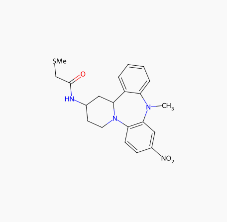 CSCC(=O)NC1CCN2c3ccc([N+](=O)[O-])cc3N(C)c3ccccc3C2C1